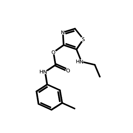 CCNc1scnc1OC(=O)Nc1cccc(C)c1